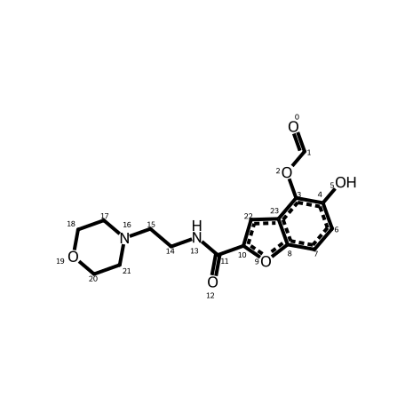 O=COc1c(O)ccc2oc(C(=O)NCCN3CCOCC3)cc12